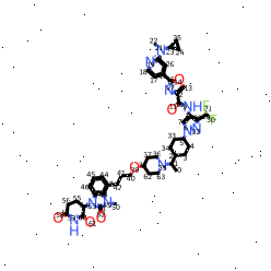 CC(C1CCC(n2cc(NC(=O)c3coc(-c4ccnc(N(C)C5CC5)c4)n3)c(C(F)F)n2)CC1)N1CCC(OCCCc2cccc3c2n(C)c(=O)n3C2CCC(=O)NC2=O)CC1